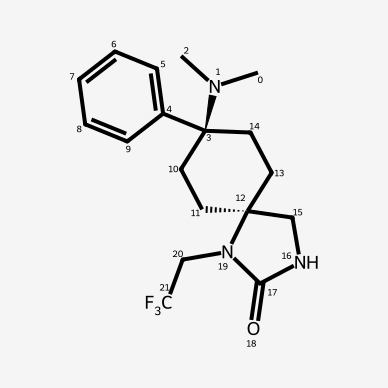 CN(C)[C@]1(c2ccccc2)CC[C@]2(CC1)CNC(=O)N2CC(F)(F)F